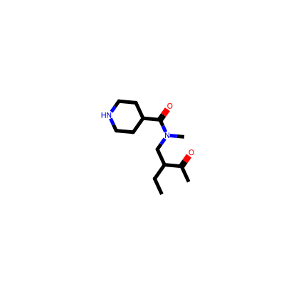 CCC(CN(C)C(=O)C1CCNCC1)C(C)=O